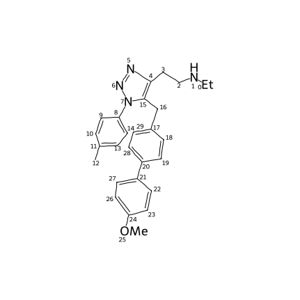 CCNCCc1nnn(-c2ccc(C)cc2)c1Cc1ccc(-c2ccc(OC)cc2)cc1